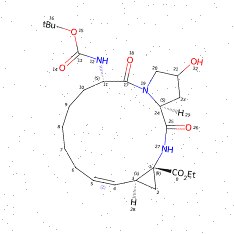 CCOC(=O)[C@@]12C[C@H]1/C=C\CCCCC[C@H](NC(=O)OC(C)(C)C)C(=O)N1CC(O)C[C@H]1C(=O)N2